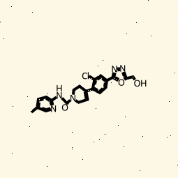 Cc1ccc(NC(=O)N2CC=C(c3ccc(-c4nnc(CO)o4)cc3Cl)CC2)nc1